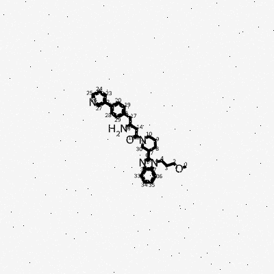 COCCCn1c(C2CCCN(C(=O)CC(N)Cc3ccc(-c4cccnc4)cc3)C2)nc2ccccc21